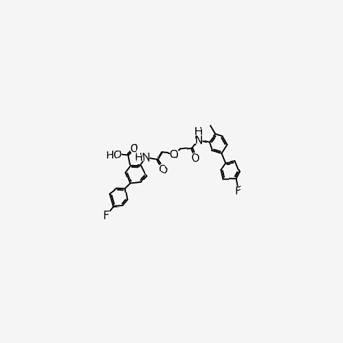 Cc1ccc(-c2ccc(F)cc2)cc1NC(=O)COCC(=O)Nc1ccc(-c2ccc(F)cc2)cc1C(=O)O